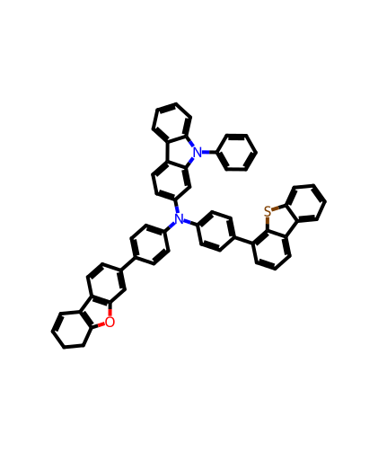 C1=Cc2c(oc3cc(-c4ccc(N(c5ccc(-c6cccc7c6sc6ccccc67)cc5)c5ccc6c7ccccc7n(-c7ccccc7)c6c5)cc4)ccc23)CC1